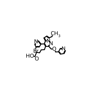 CCc1ccc2c(-c3cncc(Br)c3)c(CCCCC(=O)O)c(COCc3cccnc3)nn12